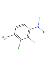 Cc1ccc(N(F)F)c(F)c1F